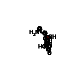 C[C@]12C=CC(=O)C=C1CC[C@@H]1[C@@H]2[C@@H](O)C[C@@]2(C)[C@H]1C[C@H]1O[C@H](c3cccc(Cc4ccccc4N)c3)O[C@]12C(=O)CO